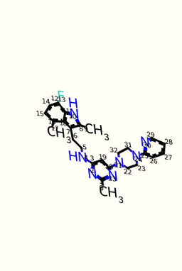 Cc1nc(NCCc2c(C)[nH]c3c(F)ccc(C)c23)cc(N2CCN(c3ccccn3)CC2)n1